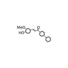 COc1cc(/C=C/C(=O)c2ccc(-c3ccccc3)cc2)ccc1O